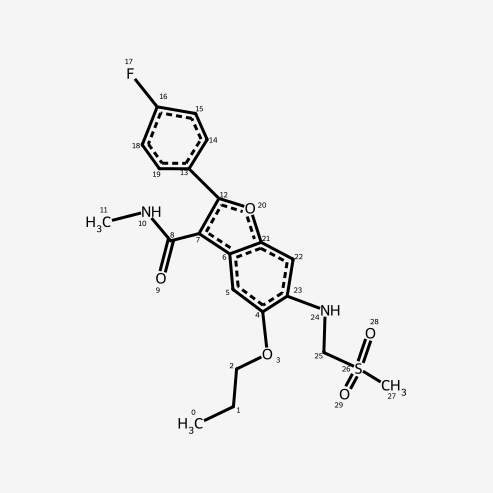 CCCOc1cc2c(C(=O)NC)c(-c3ccc(F)cc3)oc2cc1NCS(C)(=O)=O